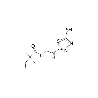 CCC(C)(C)C(=O)OCNc1nnc(S)s1